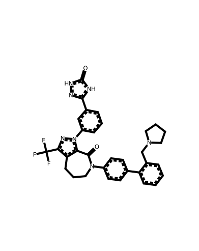 O=C1c2c(c(C(F)(F)F)nn2-c2cccc(-c3n[nH]c(=O)[nH]3)c2)CCCN1c1ccc(-c2ccccc2CN2CCCC2)cc1